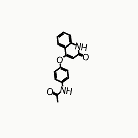 CC(=O)Nc1ccc(Oc2cc(=O)[nH]c3ccccc23)cc1